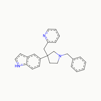 c1ccc(CN2CCC(Cc3ccccn3)(c3ccc4[nH]ccc4c3)C2)cc1